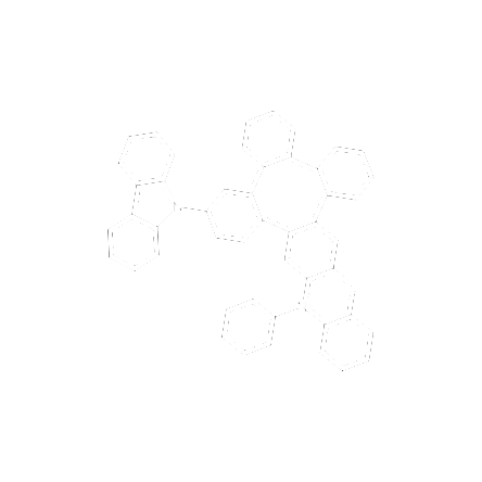 c1ccc(-n2c3ccccc3oc3cc4c5ccccc5c5ccccc5c5cc(-n6c7ccccc7c7ccccc76)ccc5c4cc32)cc1